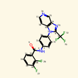 O=C(Nc1ccc(-n2c(C(F)(F)F)nc3cnccc32)cc1)c1cccc(F)c1F